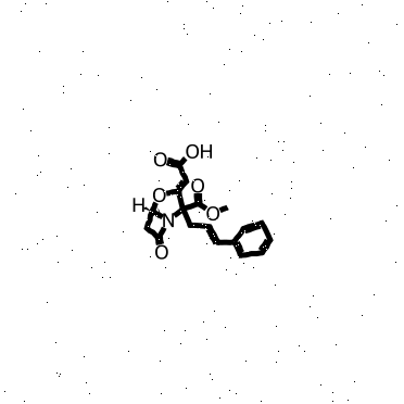 COC(=O)C1(CC=Cc2ccccc2)C(=CC(=O)O)O[C@@H]2CC(=O)N21